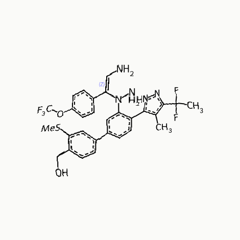 CSc1cc(-c2ccc(-c3[nH]nc(C(C)(F)F)c3C)c(N(N)/C(=C\N)c3ccc(OC(F)(F)F)cc3)c2)ccc1CO